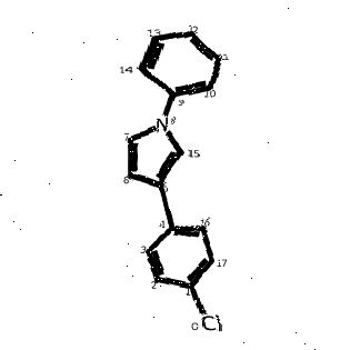 Clc1ccc(-c2ccn(-c3ccccc3)c2)cc1